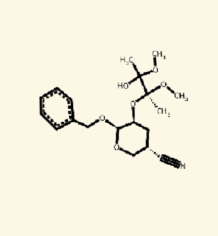 COC(C)(O)[C@@](C)(OC)O[C@H]1C[C@H](C#N)CO[C@H]1OCc1ccccc1